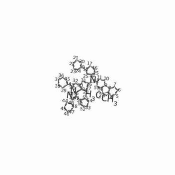 CC1(C)c2ccccc2-c2ccc(N(c3cccc(-c4ccccc4)c3)c3ccc4c(c3)cc(-c3ccccc3)n3nc(-c5ccccc5)c(-c5ccccc5)c43)cc21